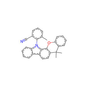 Cc1cccc(C#N)c1-n1c2ccccc2c2ccc3c(c21)Oc1ccccc1C3(C)C